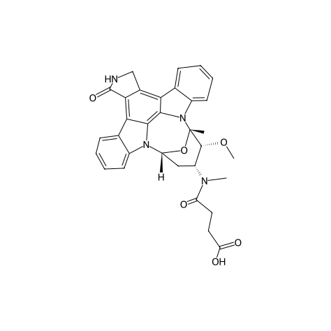 CO[C@@H]1[C@H](N(C)C(=O)CCC(=O)O)C[C@H]2O[C@]1(C)n1c3ccccc3c3c4c(c5c6ccccc6n2c5c31)C(=O)NC4